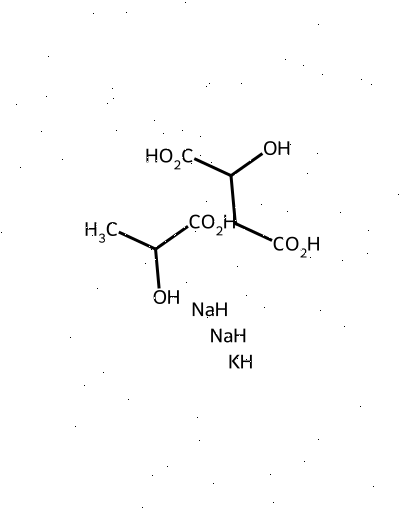 CC(O)C(=O)O.O=C(O)CC(O)C(=O)O.[KH].[NaH].[NaH]